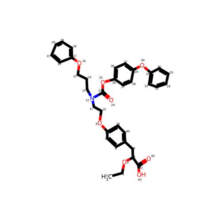 CCOC(Cc1ccc(OCCN(CCCOc2ccccc2)C(=O)Oc2ccc(Oc3ccccc3)cc2)cc1)C(=O)O